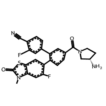 Cn1c(=O)sc2cc(-c3ccc(C(=O)N4CC[C@H](N)C4)cc3-c3ccc(C#N)c(F)c3)c(F)cc21